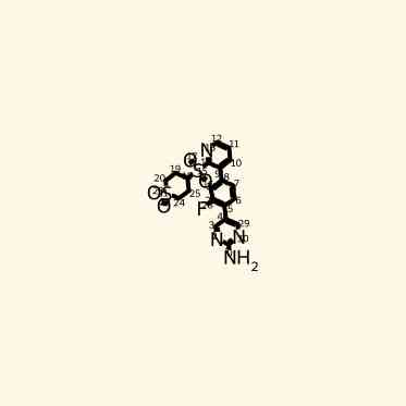 Nc1ncc(-c2ccc(-c3cccnc3S(=O)(=O)C3CCS(=O)(=O)CC3)cc2F)cn1